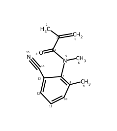 C=C(C)C(=O)N(C)c1c(C)cccc1C#N